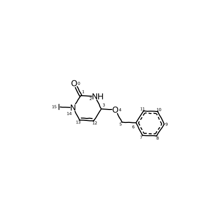 O=C1NC(OCc2ccccc2)C=CN1I